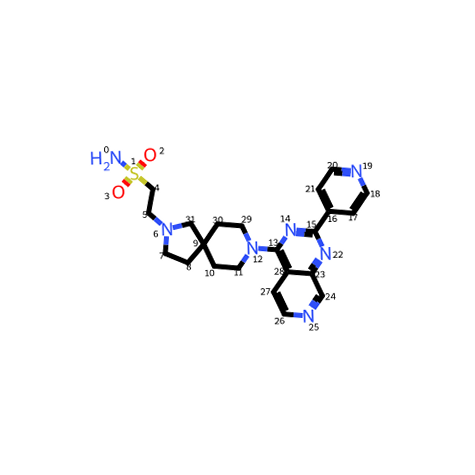 NS(=O)(=O)CCN1CCC2(CCN(c3nc(-c4ccncc4)nc4cnccc34)CC2)C1